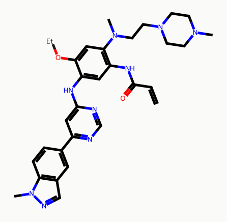 C=CC(=O)Nc1cc(Nc2cc(-c3ccc4c(cnn4C)c3)ncn2)c(OCC)cc1N(C)CCN1CCN(C)CC1